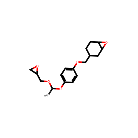 CCCC(OCC1CO1)Oc1ccc(OCC2CCC3OC3C2)cc1